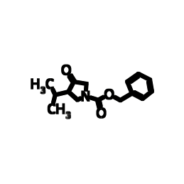 CC(C)C1CN(C(=O)OCc2ccccc2)CC1=O